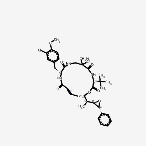 COc1ccc(C[C@H]2NC(=O)/C=C/C[C@@H]([C@H](C)[C@H]3O[C@@H]3c3ccccc3)OC(=O)[C@H](C(C)(C)C)NC(=O)C(C)(C)CNC2=O)cc1Cl